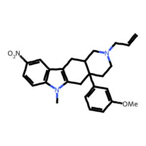 C=CCN1CCC2(c3cccc(OC)c3)Cc3c(c4cc([N+](=O)[O-])ccc4n3C)CC2C1